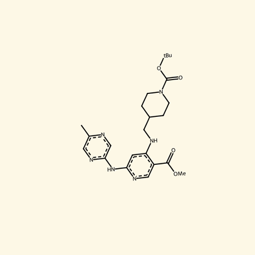 COC(=O)c1cnc(Nc2cnc(C)cn2)cc1NCC1CCN(C(=O)OC(C)(C)C)CC1